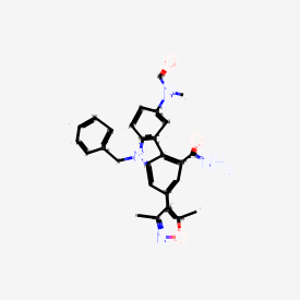 Cc1noc(C)c1-c1cc(C(N)=O)c2c3cc(N(C)C=O)ccc3n(Cc3ccccc3)c2c1